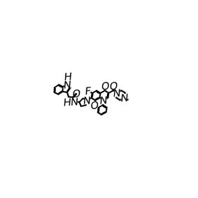 CN1CCN(C(=O)c2cn3c4c(c(N5CCC(NC(=O)Cc6c[nH]c7ccccc67)C5)c(F)cc4c2=O)Oc2ccccc2-3)CC1